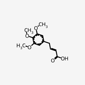 COc1cc(C/C=C/C(=O)O)cc(OC)c1OC